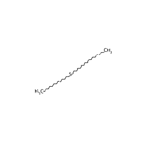 CCCCCCCCCCCCCCCCCCSCCCCCCCCCCCCCC